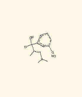 CCC(O)(c1cccc(Cl)c1)C(C)CN(C)C.Cl